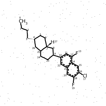 CCCC[C@@H]1CC[C@@H]2CC(c3cc(F)c4cc(Cl)c(F)cc4c3)CCC2C1